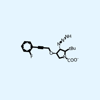 CC(C)(C)C1[C@@H](N=[N+]=N)[C@H](OCC#Cc2ccccc2F)CN1C(=O)[O-]